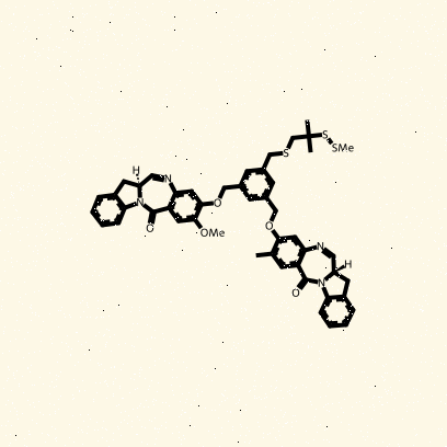 COc1cc2c(cc1OCc1cc(COc3cc4c(cc3C)C(=O)N3c5ccccc5C[C@H]3C=N4)cc(CSCC(C)(C)SSC)c1)N=C[C@@H]1Cc3ccccc3N1C2=O